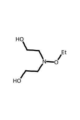 CCON(CCO)CCO